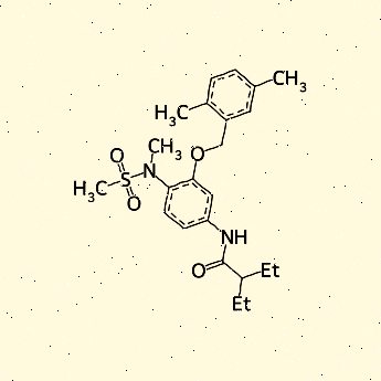 CCC(CC)C(=O)Nc1ccc(N(C)S(C)(=O)=O)c(OCc2cc(C)ccc2C)c1